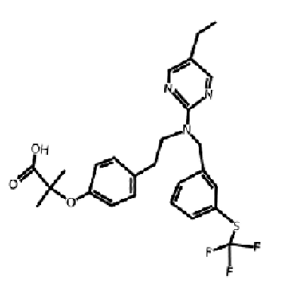 CCc1cnc(N(CCc2ccc(OC(C)(C)C(=O)O)cc2)Cc2cccc(SC(F)(F)F)c2)nc1